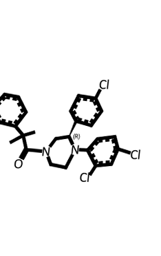 CC(C)(C(=O)N1CCN(c2ccc(Cl)cc2Cl)[C@H](c2ccc(Cl)cc2)C1)c1ccccc1